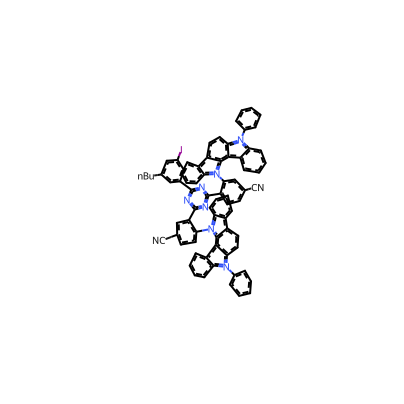 CCCCc1cc(I)cc(-c2nc(-c3cc(C#N)ccc3-n3c4ccccc4c4ccc5c(c6ccccc6n5-c5ccccc5)c43)nc(-c3ccc(C#N)cc3-n3c4ccccc4c4ccc5c(c6ccccc6n5-c5ccccc5)c43)n2)c1